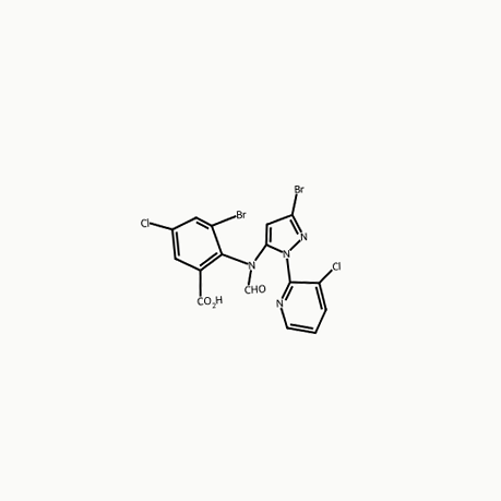 O=CN(c1c(Br)cc(Cl)cc1C(=O)O)c1cc(Br)nn1-c1ncccc1Cl